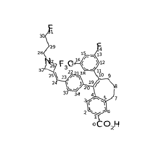 O=C(O)c1ccc2c(c1)CCCC(c1cc(F)cc(C(F)(F)F)c1)=C2c1ccc(C=C2CN(CCCF)C2)cc1